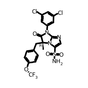 C[C@@]1(Cc2ccc(OC(F)(F)F)cc2)C(=O)N(c2cc(Cl)cc(Cl)c2)c2ncc(S(N)(=O)=O)n21